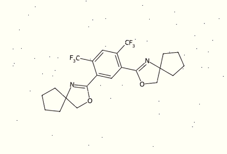 FC(F)(F)c1cc(C(F)(F)F)c(C2=NC3(CCCC3)CO2)cc1C1=NC2(CCCC2)CO1